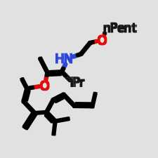 C=C(/C=C(/C)O/C(C)=C(/NCCOCCCCC)C(C)C)C(/C=C\C=C/C)=C(C)C